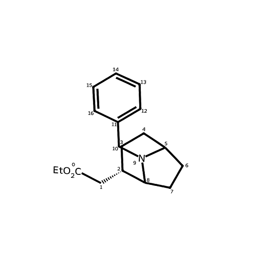 CCOC(=O)C[C@@H]1CCC2CCC1N2Cc1ccccc1